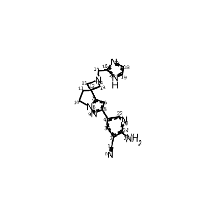 N#Cc1cc(-c2cc3n(n2)CCC32CN(Cc3ncc[nH]3)C2)cnc1N